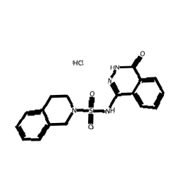 Cl.O=c1[nH]nc(NS(=O)(=O)N2CCc3ccccc3C2)c2ccccc12